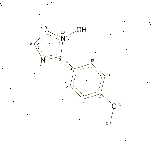 COc1ccc(-c2nccn2O)cc1